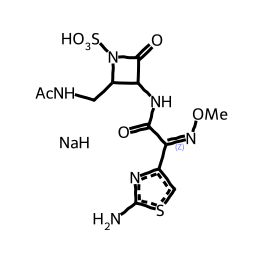 CO/N=C(\C(=O)NC1C(=O)N(S(=O)(=O)O)C1CNC(C)=O)c1csc(N)n1.[NaH]